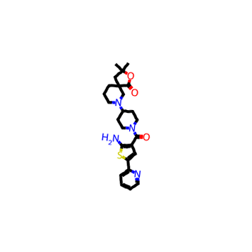 CC1(C)CC2(CCCN(C3CCN(C(=O)c4cc(-c5ccccn5)sc4N)CC3)C2)C(=O)O1